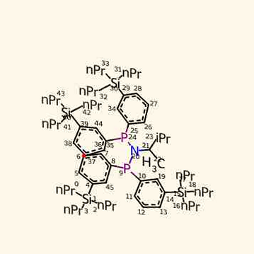 CCC[Si](CCC)(CCC)c1cccc(P(c2cccc([Si](CCC)(CCC)CCC)c2)N(C(C)C(C)C)P(c2cccc([Si](CCC)(CCC)CCC)c2)c2cccc([Si](CCC)(CCC)CCC)c2)c1